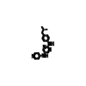 CC(C)Cc1ccc(Nc2ncc(Nc3ccncc3)cn2)cc1